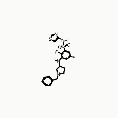 Cc1cc(N(C)C2CCN(Cc3ccccc3)C2)c(F)c(S(=O)(=O)Nc2cscn2)c1